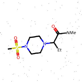 CCC(C(=O)NC)N1CCN(S(C)(=O)=O)CC1